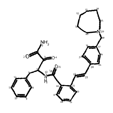 NC(=O)C(=O)C(Cc1ccccc1)NC(=O)c1ccccc1C=Cc1ccc(CN2CCCCCC2)cc1